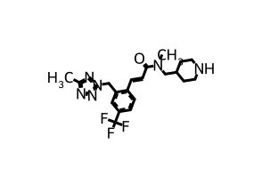 Cc1nnn(Cc2cc(C(F)(F)F)ccc2C=CC(=O)N(C)CC2CCNCC2)n1